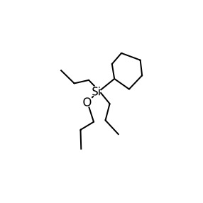 CCCO[Si](CCC)(CCC)C1CCCCC1